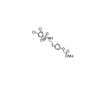 COC(=O)COc1ccc(SCCNS(=O)(=O)c2cc(Cl)c(Cl)cc2Cl)cc1